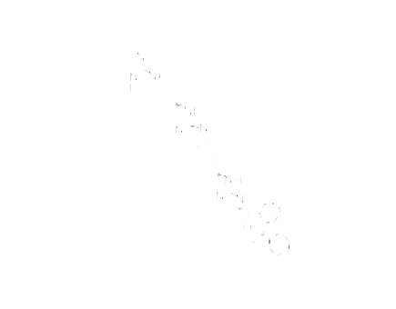 [CH2][C@@H]1CCN2CC[C@H](CSC[C@H]3CCN4CC[C@H](CSC[C@H]5CCN6CC[C@H](CO[Si](c7ccccc7)(c7ccccc7)C(C)(C)C)N=C6N5)N=C4N3)N=C2N1